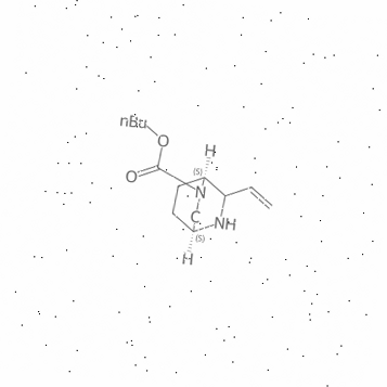 C=CC1N[C@H]2CC[C@@H]1N(C(=O)OCCCC)C2